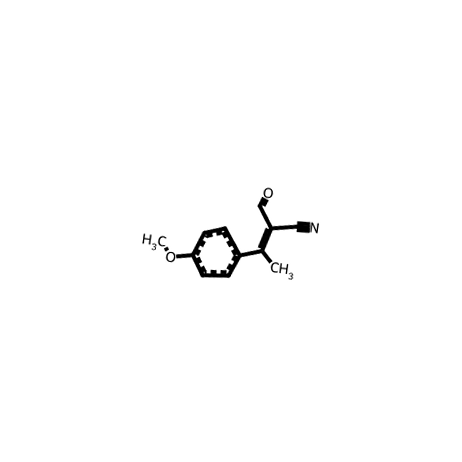 COc1ccc(C(C)=C(C#N)C=O)cc1